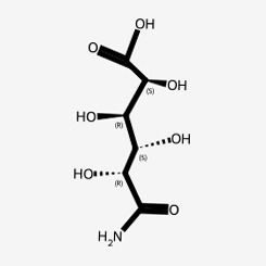 NC(=O)[C@H](O)[C@@H](O)[C@@H](O)[C@H](O)C(=O)O